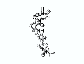 CCN1CC2CC(n3cc(CNc4cccc5c4C(=O)N(C4CCC(=O)NC4=O)C5=O)cn3)CCN2C1=O